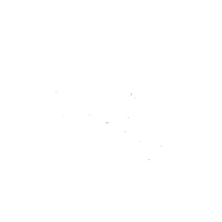 CC(C)(C)OC(=O)N[C@H]1CCCCC/C=C\[C@@H]2C[C@@]2(C(=O)O)NC(=O)[C@@H]2C[C@@H](OC(=O)N3CCc4ccc(N)cc4C3)CN2C1=O